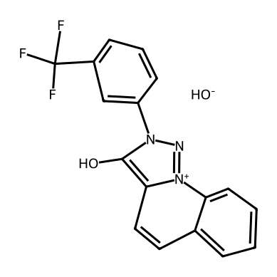 Oc1c2ccc3ccccc3[n+]2nn1-c1cccc(C(F)(F)F)c1.[OH-]